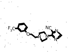 N#Cc1nccnc1N1CCN(CCOc2cccc(C(F)(F)F)c2)CC1